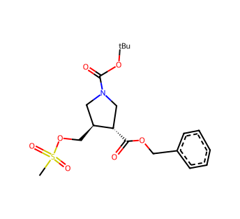 CC(C)(C)OC(=O)N1C[C@H](COS(C)(=O)=O)[C@@H](C(=O)OCc2ccccc2)C1